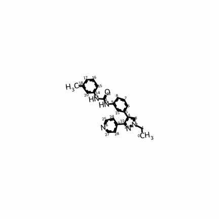 CCn1cc(-c2cccc(NC(=O)Nc3cccc(C)c3)c2)c(-c2ccncc2)n1